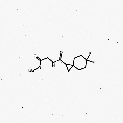 CC(C)(C)OC(=O)CNC(=O)C1CC12CCC(F)(F)CC2